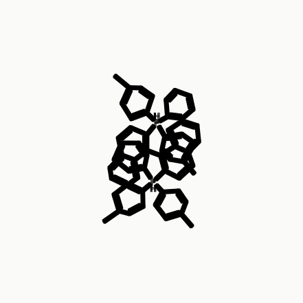 Cc1ccc([PH](c2ccccc2)(c2ccc(C)cc2)c2ccc3ccccc3c2-c2c([PH](c3ccccc3)(c3ccc(C)cc3)c3ccc(C)cc3)ccc3ccccc23)cc1